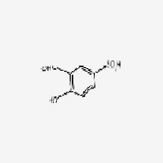 O=Cc1cc(S(=O)(=O)O)ccc1O